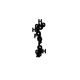 CC(C)(C)OC(=O)NN1CCC(CCN2CCN(c3ccc(NC4CCC(=O)NC4=O)cc3F)CC2)CC1